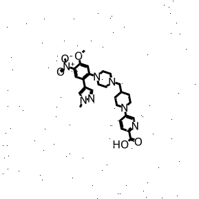 COc1cc(N2CCN(CC3CCN(c4ccc(C(=O)O)nc4)CC3)CC2)c(-c2cnn(C)c2)cc1[N+](=O)[O-]